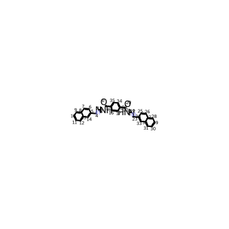 O=C(N/N=C/c1ccc2ccccc2c1)c1ccc(C(=O)N/N=C/c2ccc3ccccc3c2)cc1